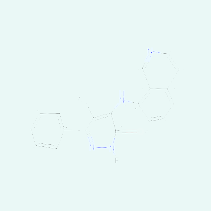 CCn1nc(-c2ccccc2)c(C(C)=O)c(Nc2cccc3ccncc23)c1=O